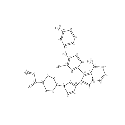 C=CC(=O)N1CCC(n2cc(-c3nn4ncnc(N)c4c3-c3ccc(Oc4cccc(C)n4)c(F)c3)cn2)CC1